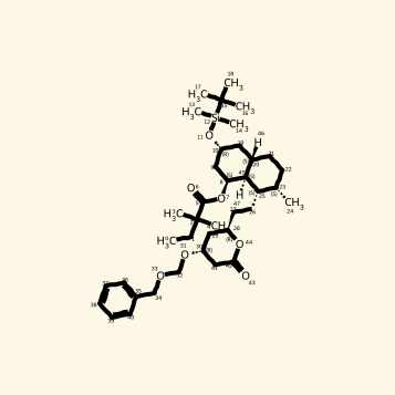 CCC(C)(C)C(=O)O[C@H]1C[C@H](O[Si](C)(C)C(C)(C)C)C[C@@H]2CC[C@H](C)[C@H](CC[C@@H]3C[C@@H](OCOCc4ccccc4)CC(=O)O3)[C@H]21